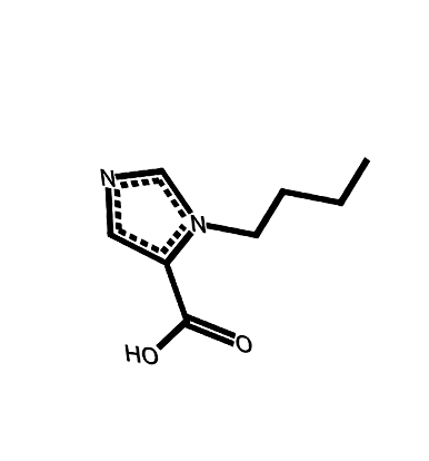 CCCCn1cncc1C(=O)O